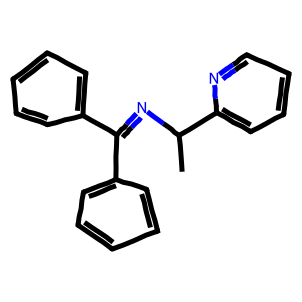 CC(N=C(c1ccccc1)c1ccccc1)c1ccccn1